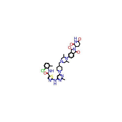 Cc1nc(Nc2ncc(C(=O)Nc3c(C)cccc3Cl)s2)cc(N2CCC(CN3CC(C)N(c4ccc5c(c4)C(=O)N(C4CCC(=O)NC4=O)C5=O)C(C)C3)CC2)n1